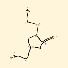 CC(=O)CON1CC(CO)OC1=O